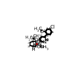 COc1cc(Cl)ccc1-c1ccc(N(C)[C@H]2C[C@@H]3CC[C@](C(C)(C)C)(C2)N3C(=O)O)nn1